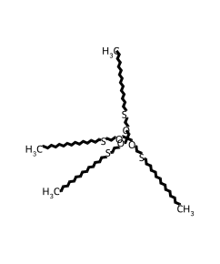 CCCCCCCCCCCCCCCCSCCCOCC(COCCCSCCCCCCCCCCCCCCCC)(COCCCSCCCCCCCCCCCCCCCC)COCCCSCCCCCCCCCCCCCCCC